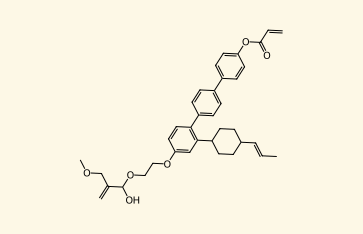 C=CC(=O)Oc1ccc(-c2ccc(-c3ccc(OCCOC(O)C(=C)COC)cc3C3CCC(/C=C/C)CC3)cc2)cc1